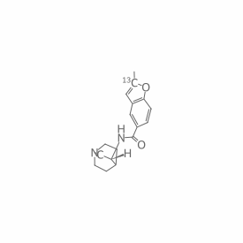 C[13c]1cc2cc(C(=O)N[C@H]3CN4CCC3CC4)ccc2o1